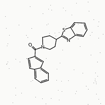 O=C(c1[c]cc2ccccc2c1)N1CCC(c2nc3ccccc3s2)CC1